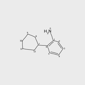 Nc1[c]cccc1C1CCCCC1